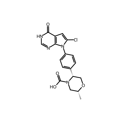 C[C@@H]1CN(C(=O)O)[C@H](c2ccc(-n3c(Cl)cc4c(=O)[nH]cnc43)cc2)CO1